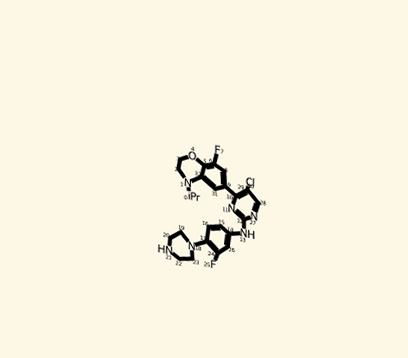 CC(C)N1CCOc2c(F)cc(-c3nc(Nc4ccc(N5CCNCC5)c(F)c4)ncc3Cl)cc21